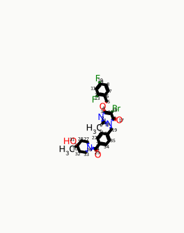 Cc1nc(OCc2ccc(F)cc2F)c(Br)c(=O)n1Cc1ccc(C(=O)N2CCC(C)(O)CC2)cc1